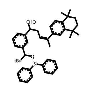 CC(=CCC(C=O)c1cccc(C(O[SiH](c2ccccc2)c2ccccc2)C(C)(C)C)c1)c1ccc2c(c1)C(C)(C)CCC2(C)C